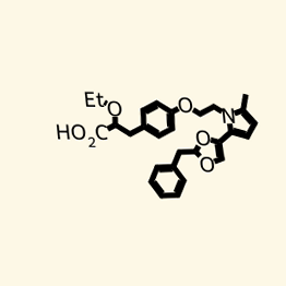 CCOC(Cc1ccc(OCCn2c(C)ccc2C2=COC(Cc3ccccc3)O2)cc1)C(=O)O